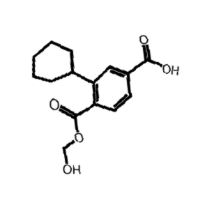 O=C(O)c1ccc(C(=O)OCO)c(C2CCCCC2)c1